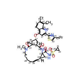 CCc1ccc2c(O[C@@H]3C[C@H]4C(=O)N[C@]5(C(=O)NS(=O)(=O)C6CC6)C[C@H]5/C=C\CCCCN(C)C(=O)[C@@H]4C3)cc(-c3nc(C(C)C)cs3)nc2c1C